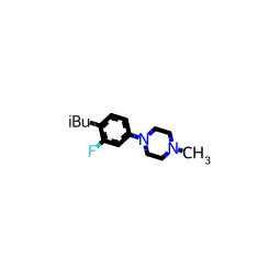 CCC(C)c1ccc(N2CCN(C)CC2)cc1F